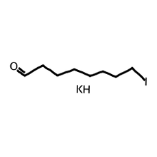 O=CCCCCCCCI.[KH]